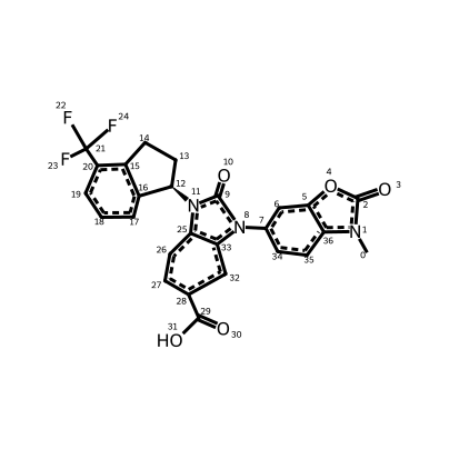 Cn1c(=O)oc2cc(-n3c(=O)n([C@@H]4CCc5c4cccc5C(F)(F)F)c4ccc(C(=O)O)cc43)ccc21